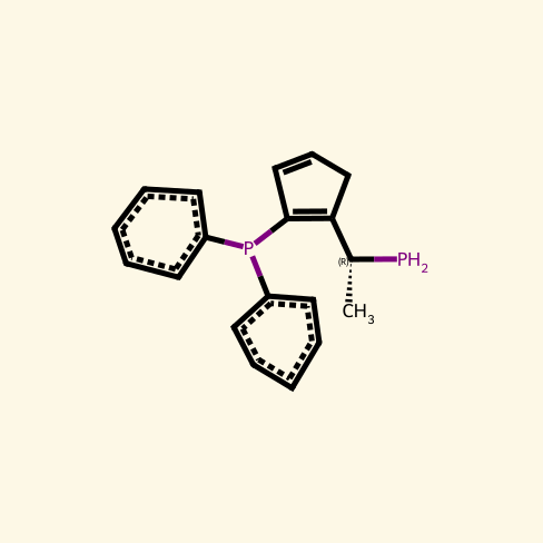 C[C@@H](P)C1=C(P(c2ccccc2)c2ccccc2)C=CC1